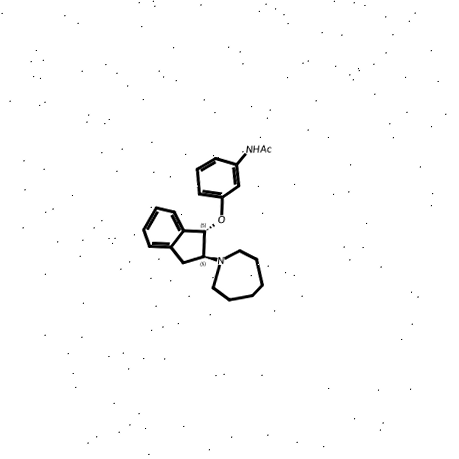 CC(=O)Nc1cccc(O[C@H]2c3ccccc3C[C@@H]2N2CCCCCC2)c1